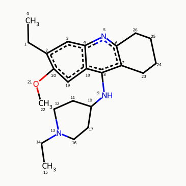 CCc1cc2nc3c(c(NC4CCN(CC)CC4)c2cc1OC)CCCC3